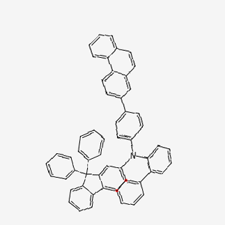 c1ccc(-c2ccccc2N(c2ccc(-c3ccc4c(ccc5ccccc54)c3)cc2)c2ccc3c(c2)C(c2ccccc2)(c2ccccc2)c2ccccc2-3)cc1